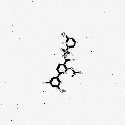 CCC(C)C(C)Oc1nc(-c2cc(F)cc(OCC(C)C)c2)ccc1C(=O)NS(=O)(=O)c1cccc(N)n1